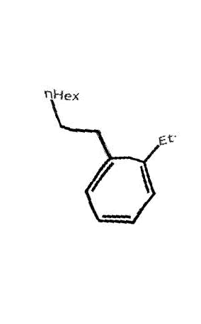 C[CH]c1ccccc1CCCCCCCC